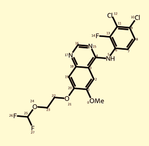 COc1cc2c(Nc3ccc(Cl)c(Cl)c3F)ncnc2cc1OCCOC(F)F